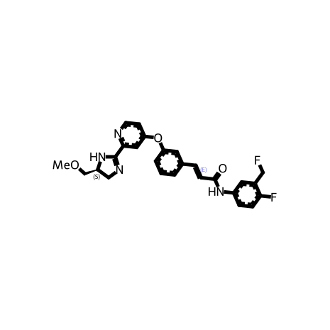 COC[C@@H]1CN=C(c2cc(Oc3cccc(/C=C/C(=O)Nc4ccc(F)c(CF)c4)c3)ccn2)N1